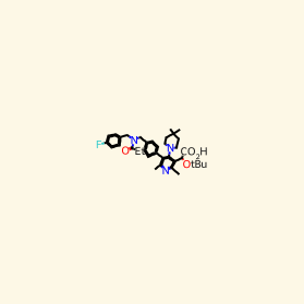 CCC(=O)N(Cc1ccc(F)cc1)Cc1ccc(-c2c(C)nc(C)c(C(OC(C)(C)C)C(=O)O)c2N2CCC(C)(C)CC2)cc1